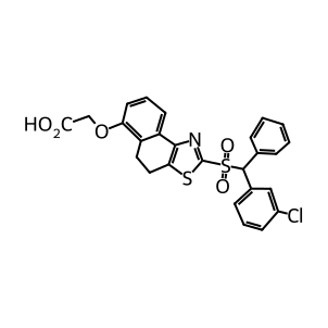 O=C(O)COc1cccc2c1CCc1sc(S(=O)(=O)C(c3ccccc3)c3cccc(Cl)c3)nc1-2